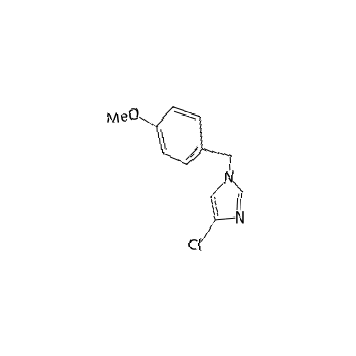 COc1ccc(Cn2cnc(Cl)c2)cc1